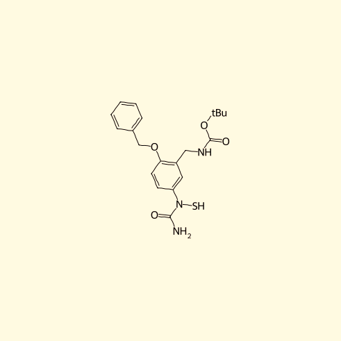 CC(C)(C)OC(=O)NCc1cc(N(S)C(N)=O)ccc1OCc1ccccc1